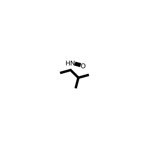 CCC(C)C.N=O